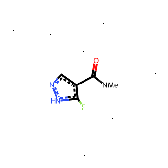 CNC(=O)c1cn[nH]c1F